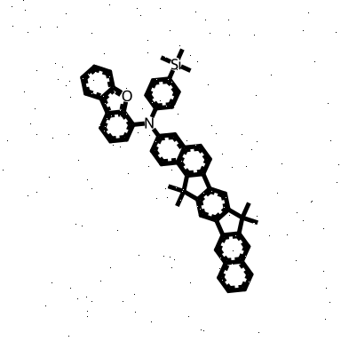 CC1(C)c2cc3c(cc2-c2cc4ccccc4cc21)C(C)(C)c1c-3ccc2cc(N(c3ccc([Si](C)(C)C)cc3)c3cccc4c3oc3ccccc34)ccc12